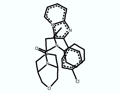 CCN(C(=O)N1C2COCC1CN(Cc1c(-c3ccc(Cl)cc3)nc3ccccn13)C2)C1CCCCC1